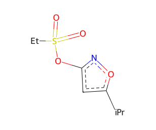 CCS(=O)(=O)Oc1cc(C(C)C)on1